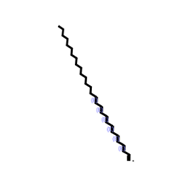 [CH]=C/C=C/C=C/C=C/C=C/C=C/C=C/CCCCCCCCCCCCCCC